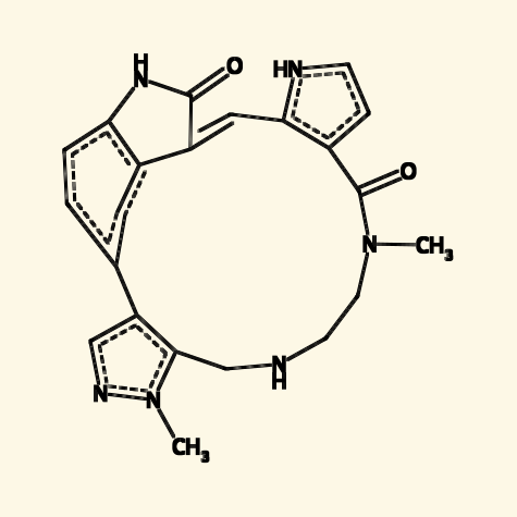 CN1CCNCc2c(cnn2C)-c2ccc3c(c2)/C(=C/c2[nH]ccc2C1=O)C(=O)N3